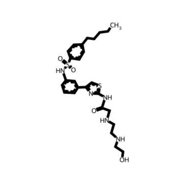 CCCCCc1ccc(S(=O)(=O)Nc2cccc(-c3csc(NC(=O)CNCCNCCO)n3)c2)cc1